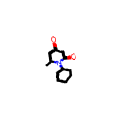 CC1CC(=O)CC(=O)N1C1CCCCC1